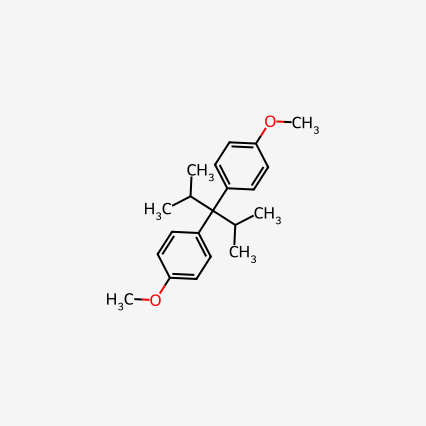 COc1ccc(C(c2ccc(OC)cc2)(C(C)C)C(C)C)cc1